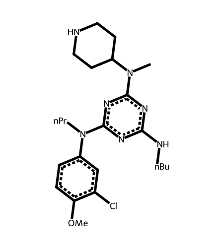 CCCCNc1nc(N(CCC)c2ccc(OC)c(Cl)c2)nc(N(C)C2CCNCC2)n1